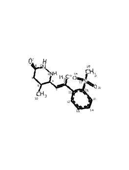 C/C(=C\C1NNC(=O)CC1C)c1ccccc1S(C)(=O)=O